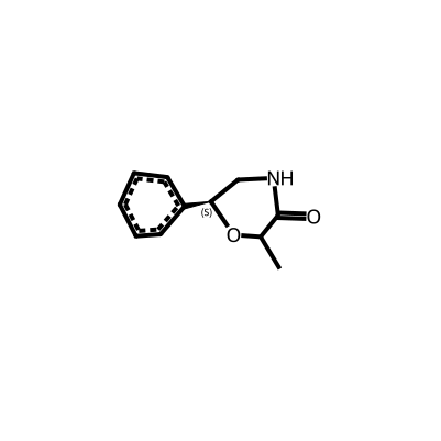 CC1O[C@@H](c2ccccc2)CNC1=O